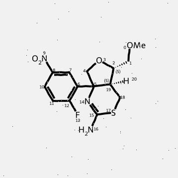 COC[C@H]1OCC2(c3cc([N+](=O)[O-])ccc3F)N=C(N)SC[C@H]12